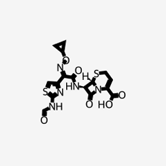 O=CNc1nc(/C(=N/OC2CC2)C(=O)N[C@@H]2C(=O)N3C(C(=O)O)=CCS[C@H]23)cs1